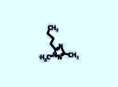 [CH2]n1nc(C)nc1CCCC